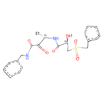 CC[C@H](NC(=O)[C@@H](O)CS(=O)(=O)Cc1ccccc1)C(=O)C(=O)NCc1ccccc1